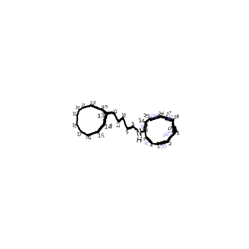 C1=C\C=C/C=C\C(NCCCCCC2CCCCCCCCCC2)=C/C=C\C=C/1